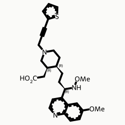 CON[C@H](CC[C@@H]1CCN(CC#Cc2cccs2)C[C@@H]1CC(=O)O)c1ccnc2ccc(OC)cc12